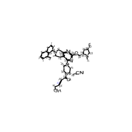 Cc1cccc2cccc(N3CCc4c(nc(OC[C@H]5C[C@@H](F)CN5C)nc4N4CCN(C(=O)/C=C/CO)[C@@H](CC#N)C4)C3)c12